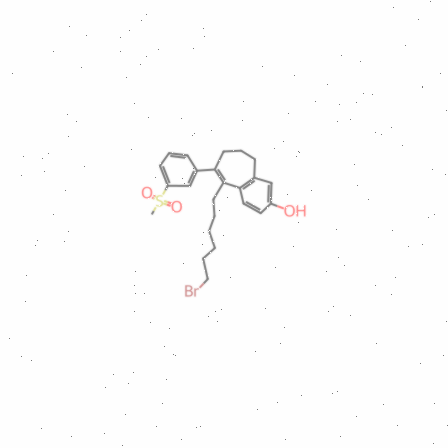 CS(=O)(=O)c1cccc(C2=C(CCCCCCBr)c3ccc(O)cc3CCC2)c1